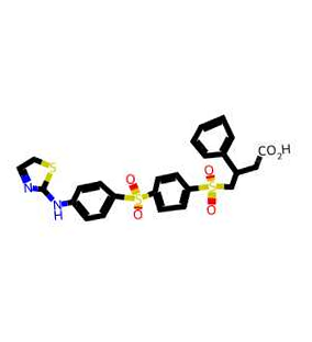 O=C(O)CC(CS(=O)(=O)c1ccc(S(=O)(=O)c2ccc(NC3N=CCS3)cc2)cc1)c1ccccc1